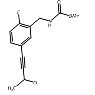 COC(=O)NCc1cc(C#CC(C)Cl)ccc1F